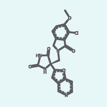 COc1ccc2c(c1Cl)C(=O)N(C[C@@]1(c3cc4cnccc4o3)NC(=O)NC1=O)C2